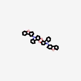 c1ccc2c(c1)oc1ccc(-n3c4ccccc4c4c5c(ccc43)Oc3c(ccc4c3c3ccccc3n4-c3ccc4oc6ccccc6c4c3)O5)cc12